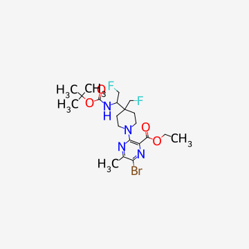 CCOC(=O)c1nc(Br)c(C)nc1N1CCC(CF)(C(CF)NC(=O)OC(C)(C)C)CC1